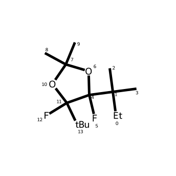 CCC(C)(C)C1(F)OC(C)(C)OC1(F)C(C)(C)C